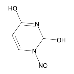 O=NN1C=CC(O)=NC1O